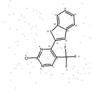 FC(F)(F)c1cnc(Cl)nc1-c1cc2ccccc2s1